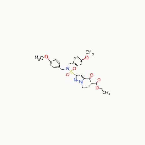 CCOC(=O)C1CCn2nc(S(=O)(=O)N(Cc3ccc(OC)cc3)Cc3ccc(OC)cc3)cc2C1=O